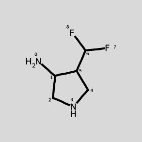 NC1CNCC1C(F)F